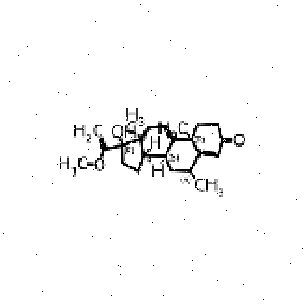 C=C(OC)[C@@]1(O)CC[C@H]2[C@@H]3C[C@H](C)C4=CC(=O)CC[C@]4(C)C3=CC[C@@]21C